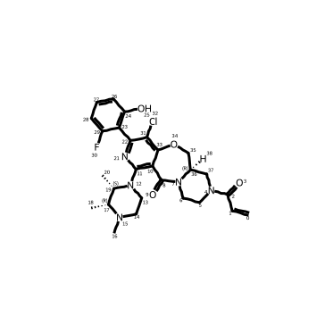 C=CC(=O)N1CCN2C(=O)c3c(N4CCN(C)[C@H](C)[C@@H]4C)nc(-c4c(O)cccc4F)c(Cl)c3OC[C@H]2C1